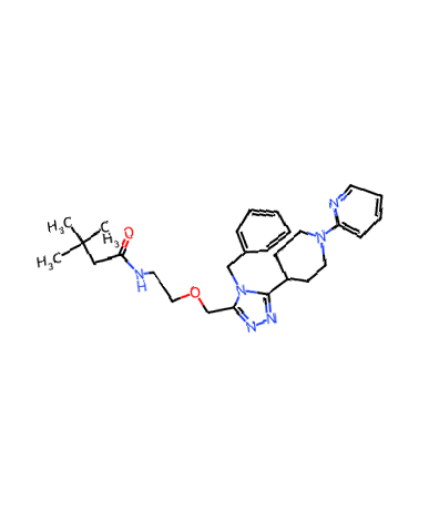 CC(C)(C)CC(=O)NCCOCc1nnc(C2CCN(c3ccccn3)CC2)n1Cc1ccccc1